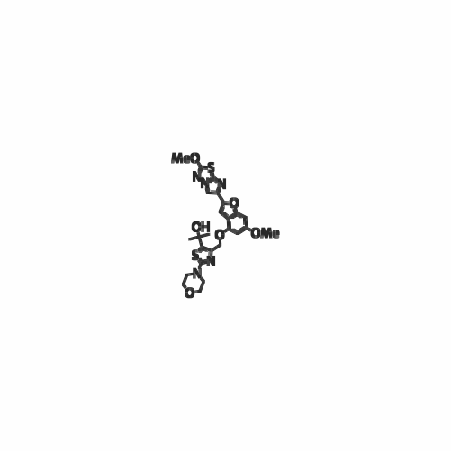 COc1cc(OCc2nc(N3CCOCC3)sc2C(C)(C)O)c2cc(-c3cn4nc(OC)sc4n3)oc2c1